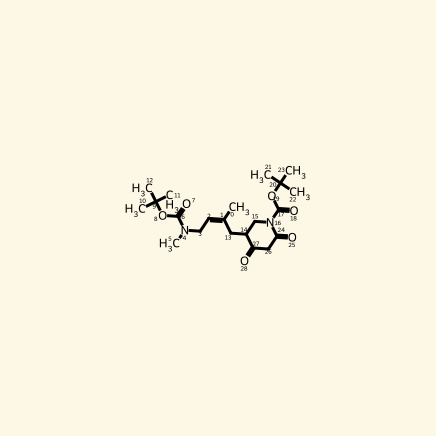 C/C(=C/CN(C)C(=O)OC(C)(C)C)CC1CN(C(=O)OC(C)(C)C)C(=O)CC1=O